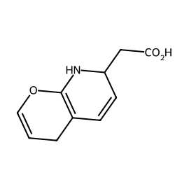 O=C(O)CC1C=CC2=C(N1)OC=CC2